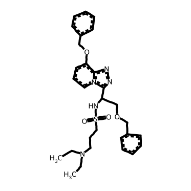 CCN(CC)CCCS(=O)(=O)NC(COCc1ccccc1)c1nnc2c(OCc3ccccc3)cccn12